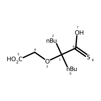 CCCCC(CCCC)(OCC(=O)O)C(O)=S